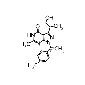 Cc1ccc([C@H](C)n2nc(C(C)CO)c3c(=O)[nH]c(C)nc32)cc1